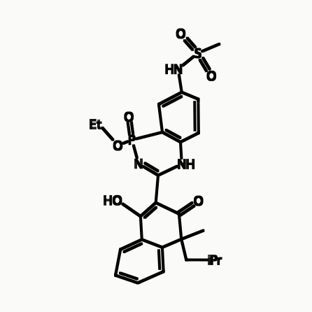 CCOP1(=O)N=C(C2=C(O)c3ccccc3C(C)(CC(C)C)C2=O)Nc2ccc(NS(C)(=O)=O)cc21